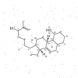 C=C(C)C(CC)CC[C@@H](C)[C@H]1CC[C@H]2C3=CCC4CCCC(O)[C@]4(C)[C@H]3CC[C@]12C